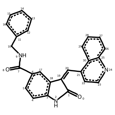 O=C1Nc2ccc(C(=O)NCc3ccccc3)cc2C1=Cc1ccnc2ccccc12